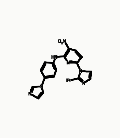 CC(C)c1nccn1-c1ccc([N+](=O)[O-])c(Nc2ccc(-n3ccnc3)cc2)n1